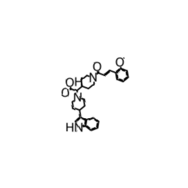 COc1ccccc1C=CC(=O)N1CCC(C(C(=O)O)N2CCC(c3c[nH]c4ccccc34)CC2)CC1